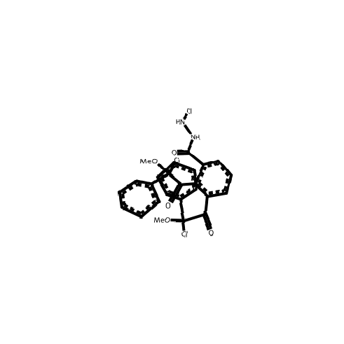 COC(Cl)(C(=O)c1cccc(C(=O)NNCl)c1C(=O)C(Cl)(OC)c1ccccc1)c1ccccc1